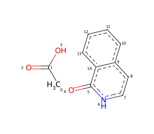 CC(=O)O.O=c1[nH]ccc2ccccc12